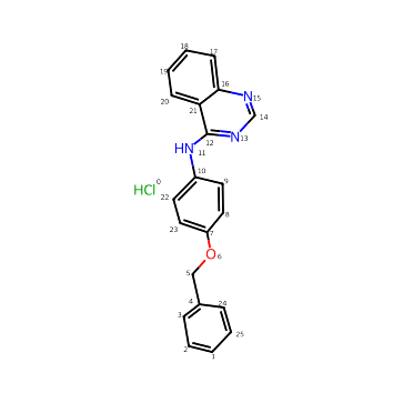 Cl.c1ccc(COc2ccc(Nc3ncnc4ccccc34)cc2)cc1